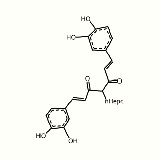 CCCCCCCC(C(=O)C=Cc1ccc(O)c(O)c1)C(=O)C=Cc1ccc(O)c(O)c1